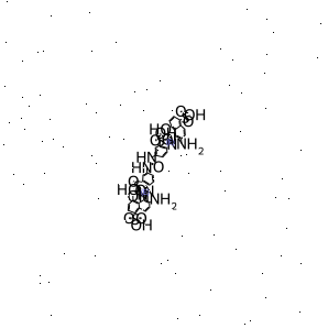 Nc1ccc2c(S(=O)(=O)O)ccc(O)c2c1/N=N/c1ccc(NC(=O)Nc2ccc(/N=N/c3c(N)ccc4c(S(=O)(=O)O)ccc(O)c34)c(S(=O)(=O)O)c2)cc1S(=O)(=O)O